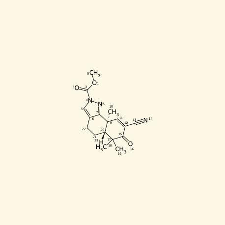 COC(=O)n1cc2c(n1)[C@@]1(C)C=C(C#N)C(=O)C(C)(C)[C@@H]1CC2